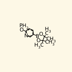 CC1(C)OB(c2ccc(OP)nc2)OC1(C)C